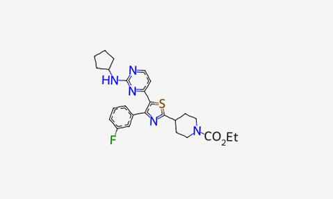 CCOC(=O)N1CCC(c2nc(-c3cccc(F)c3)c(-c3ccnc(NC4CCCC4)n3)s2)CC1